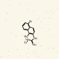 CCNC(=N)Nc1ccc2c(Br)cccc2c1C(C)CC